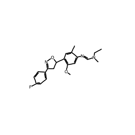 CCN(C)/C=N/c1cc(OC)c(C2CC(c3ccc(F)cc3)=NO2)cc1C